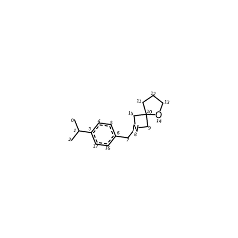 CC(C)c1ccc(CN2CC3(CCCO3)C2)cc1